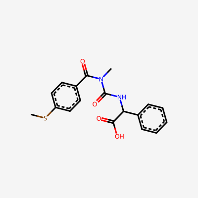 CSc1ccc(C(=O)N(C)C(=O)NC(C(=O)O)c2ccccc2)cc1